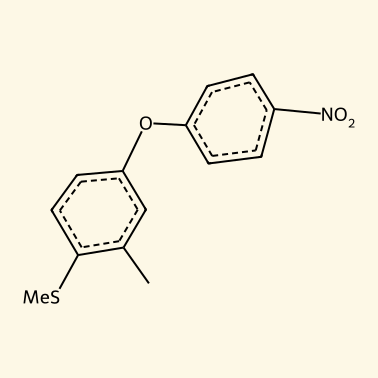 CSc1ccc(Oc2ccc([N+](=O)[O-])cc2)cc1C